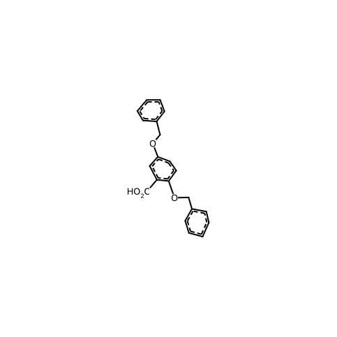 O=C(O)c1cc(OCc2ccccc2)ccc1OCc1ccccc1